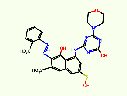 O=C(O)c1ccccc1/N=N/c1c(S(=O)(=O)O)cc2cc(SO)cc(Nc3nc(O)nc(N4CCOCC4)n3)c2c1O